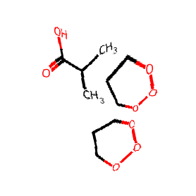 C1COOOC1.C1COOOC1.CC(C)C(=O)O